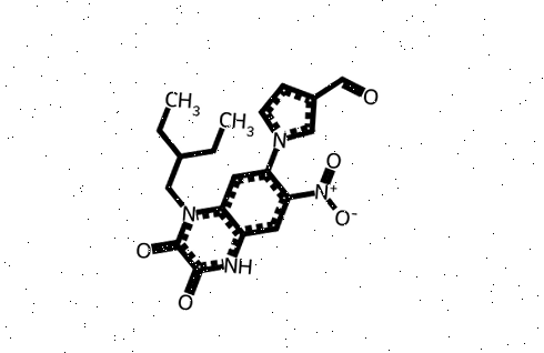 CCC(CC)Cn1c(=O)c(=O)[nH]c2cc([N+](=O)[O-])c(-n3ccc(C=O)c3)cc21